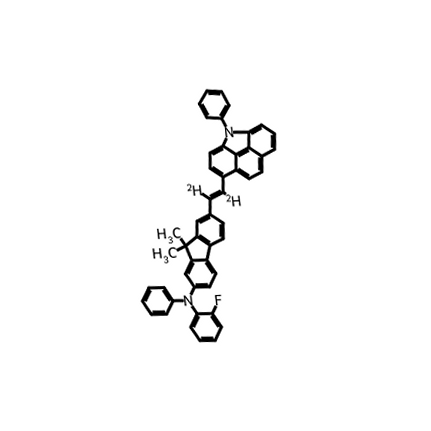 [2H]/C(=C(/[2H])c1ccc2c3c1ccc1cccc(c13)n2-c1ccccc1)c1ccc2c(c1)C(C)(C)c1cc(N(c3ccccc3)c3ccccc3F)ccc1-2